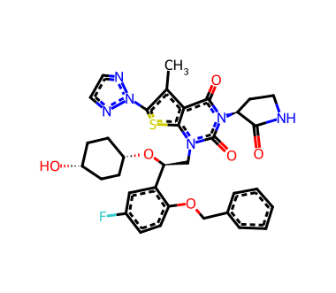 Cc1c(-n2nccn2)sc2c1c(=O)n([C@H]1CCNC1=O)c(=O)n2C[C@H](O[C@H]1CC[C@@H](O)CC1)c1cc(F)ccc1OCc1ccccc1